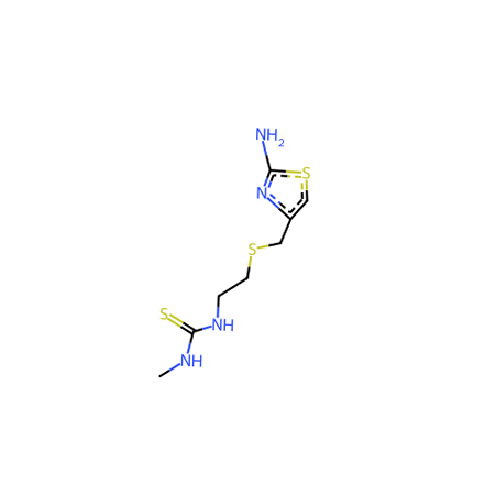 CNC(=S)NCCSCc1csc(N)n1